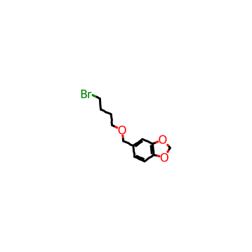 BrCCCCOCc1ccc2c(c1)OCO2